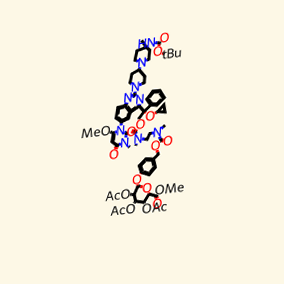 COC(=O)C1OC(Oc2ccc(COC(=O)N(C)CCN(C)C(=O)OCC(OC3CC3)(c3ccccc3)c3nc(N4CCC(N5CCC(C)(NC(=O)OC(C)(C)C)CC5)CC4)nc4ccc(N5CN(C)C(=O)C=C5OC)cc34)cc2)C(OC(C)=O)C(OC(C)=O)C1OC(C)=O